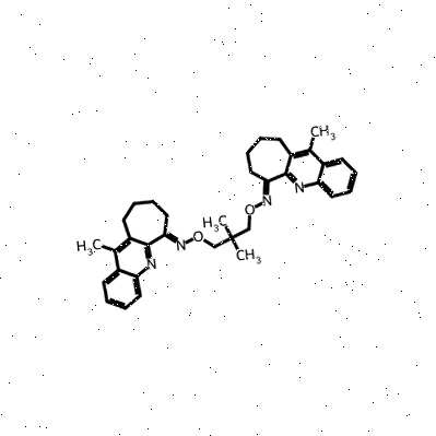 Cc1c2c(nc3ccccc13)/C(=N/OCC(C)(C)CO/N=C1\CCCCc3c1nc1ccccc1c3C)CCCC2